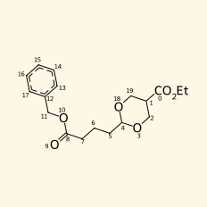 CCOC(=O)C1COC(CCCC(=O)OCc2ccccc2)OC1